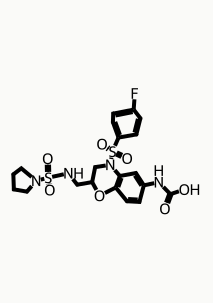 O=C(O)Nc1ccc2c(c1)N(S(=O)(=O)c1ccc(F)cc1)CC(CNS(=O)(=O)N1CCCC1)O2